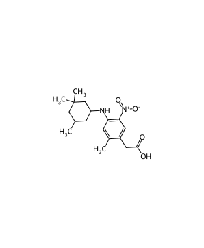 Cc1cc(NC2CC(C)CC(C)(C)C2)c([N+](=O)[O-])cc1CC(=O)O